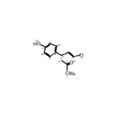 CCC=C[C@H](CC(=O)OC)c1ccc(O)cc1